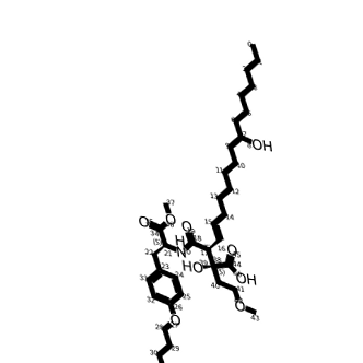 CCCCCCCC(O)CCCCCCC=C[C@H](C(=O)N[C@@H](Cc1ccc(OCCCC)cc1)C(=O)OC)[C@@](O)(CCOC)C(=O)O